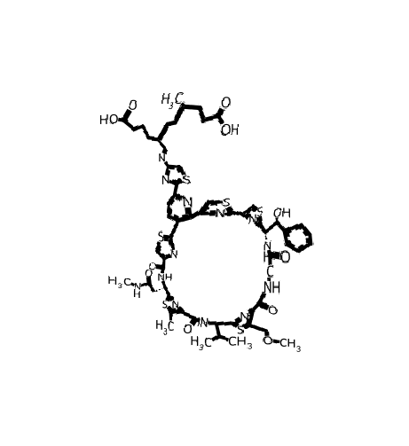 CNC(=O)C[C@@H]1NC(=O)c2csc(n2)-c2ccc(-c3nc(/N=C/C(=C\C=C(/C)CCC(=O)O)CCCC(=O)O)cs3)nc2-c2csc(n2)-c2csc(n2)[C@H]([C@@H](O)c2ccccc2)NC(=O)CNC(=O)c2nc(sc2COC)C(C(C)C)NC(=O)c2nc1sc2C